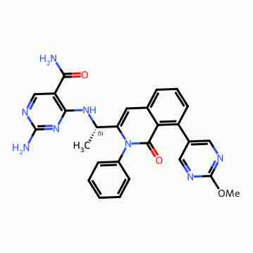 COc1ncc(-c2cccc3cc([C@H](C)Nc4nc(N)ncc4C(N)=O)n(-c4ccccc4)c(=O)c23)cn1